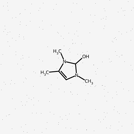 CC1=CN(C)C(O)N1C